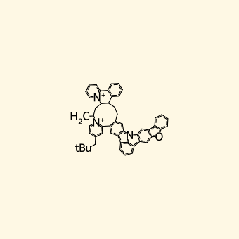 C=C1CC2C(CCc3cc4c(cc3-c3cc(CC(C)(C)C)cc[n+]31)c1cccc3c5cc6oc7ccccc7c6cc5n4c13)c1ccccc1-c1cccc[n+]12